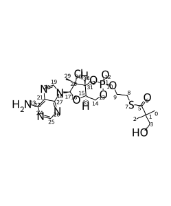 CC(C)(CO)C(=O)SCCO[P@@]1(=O)OC[C@H]2O[C@@H](n3cnc4c(N)ncnc43)[C@](C)(Cl)[C@@H]2O1